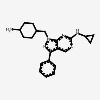 NC1CCC(Cn2nc(-c3ccccc3)c3cnc(NC4CC4)nc32)CC1